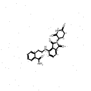 NC(=O)c1ccccc1CCNc1cccc2c1C(=O)N(C1CCC(=O)NC1=O)C2=O